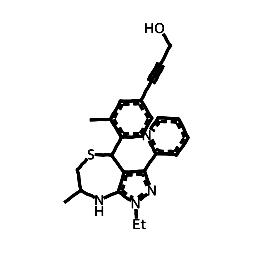 CCn1nc(-c2ccccn2)c2c1NC(C)CSC2c1ccc(C#CCO)cc1C